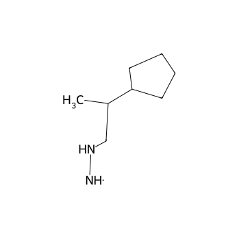 CC(CN[NH])C1CCCC1